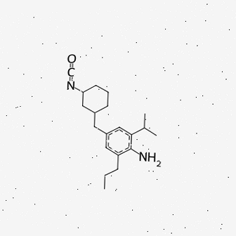 CCCc1cc(CC2CCCC(N=C=O)C2)cc(C(C)C)c1N